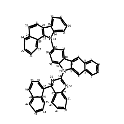 c1ccc2cc3c(cc2c1)c1cc(-n2c4ccccc4c4ccc5ccccc5c42)ccc1n3-c1nc(-c2cccc3ccccc23)c2ccccc2n1